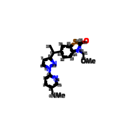 CNc1ccc(-n2ccc(C(C)c3ccc4c(c3)sc(=O)n4COC)n2)nc1